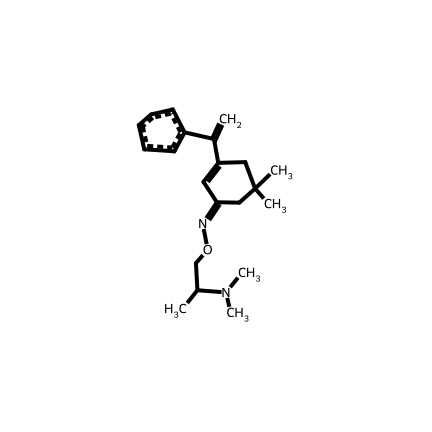 C=C(C1=C/C(=N/OCC(C)N(C)C)CC(C)(C)C1)c1ccccc1